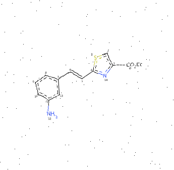 CCOC(=O)c1csc(C=Cc2cccc(N)c2)n1